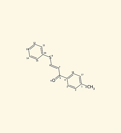 Cc1ccc(C(=O)/C=C/Sc2ccccc2)cc1